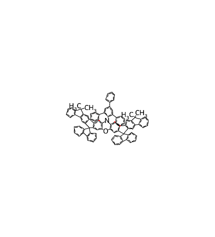 CC1(C)c2ccccc2-c2cc3c(cc21)-c1cc2c(cc1C31c3ccccc3-c3ccccc31)Oc1cc3c(cc1N2c1c(-c2ccccc2)cc(-c2ccccc2)cc1-c1ccccc1)-c1cc2c(cc1C31c3ccccc3-c3ccccc31)-c1ccccc1C2(C)C